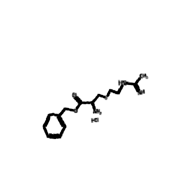 CC(=N)NCCSCC(N)C(=O)OCc1ccccc1.Cl